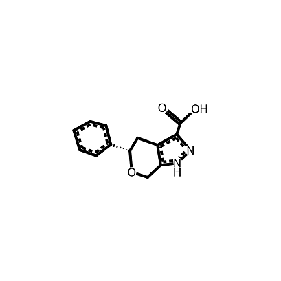 O=C(O)c1n[nH]c2c1C[C@@H](c1ccccc1)OC2